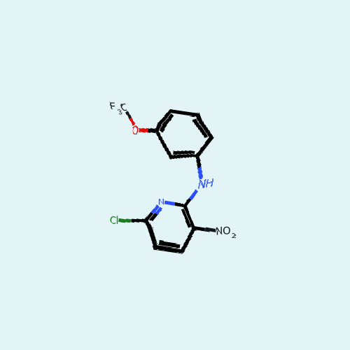 O=[N+]([O-])c1ccc(Cl)nc1Nc1cccc(OC(F)(F)F)c1